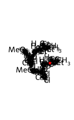 CCC(C)(C)c1ccc(OCC(=O)Nc2cccc(C(=O)NC3=NN(c4c(Cl)cc(Cl)cc4Cl)CC3N=Nc3ccc(OC)cc3)c2)c(C(C)(C)CC)c1.CCC(Oc1ccc(C(C)(C)CC)cc1C(C)(C)CC)C(=O)Nc1cccc(C(=O)NC2=NN(c3c(Cl)cc(Cl)cc3Cl)C(=O)C2N=Nc2ccc(OC)cc2)c1